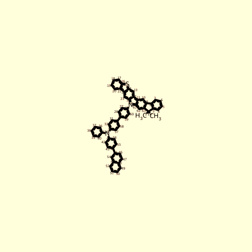 CC1(C)c2ccccc2-c2cc3c4cc5sc6ccccc6c5cc4n(-c4ccc(-c5ccc(N(c6ccccc6)c6ccc(-c7ccc8ccccc8c7)cc6)cc5)cc4)c3cc21